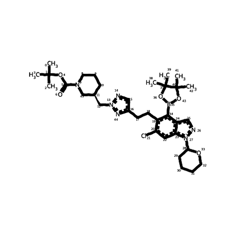 CC(C)(C)OC(=O)N1CCC[C@@H](Cn2ncc(CCc3c(Cl)cc4c(cnn4C4CCCCO4)c3B3OC(C)(C)C(C)(C)O3)n2)C1